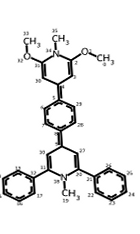 COC1=CC(=c2ccc(=C3C=C(c4ccccc4)N(C)C(c4ccccc4)=C3)cc2)C=C(OC)N1C